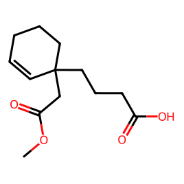 COC(=O)CC1(CCCC(=O)O)C=CCCC1